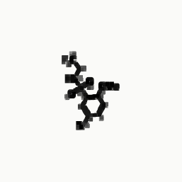 COc1ccc(Br)cc1S(=O)(=O)NCC(F)(F)F